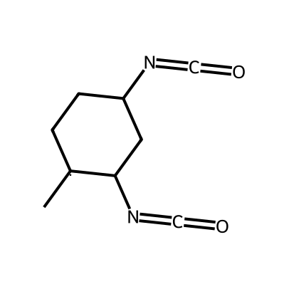 C[C]1CCC(N=C=O)CC1N=C=O